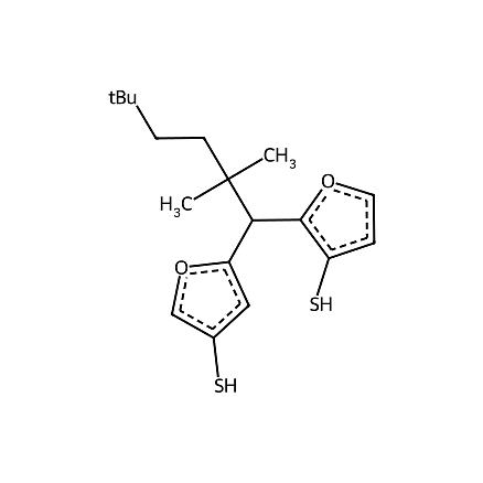 CC(C)(C)CCC(C)(C)C(c1cc(S)co1)c1occc1S